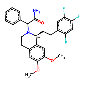 COc1cc2c(cc1OC)[C@H](CCc1cc(F)c(F)cc1F)N(C(C(N)=O)c1ccccc1)CC2